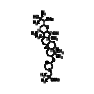 COC(C)(C)CN1CCOC(OC2CCC34CC35CCC3(C)C6C(OC(C(OC(C)=O)C(C)(C)O)C[C@H]6C)[C@H](O)[C@@]3(C)C5CC[C@H]4C2(C)C)C1